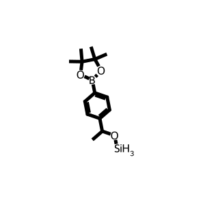 CC(O[SiH3])c1ccc(B2OC(C)(C)C(C)(C)O2)cc1